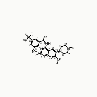 COc1nc2nc(C)nc(NC(C)c3cc(N)cc(C(F)(F)F)c3)c2cc1N1CCN(C)CC1